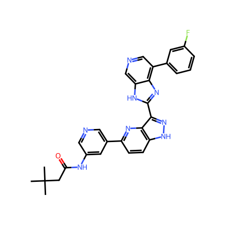 CC(C)(C)CC(=O)Nc1cncc(-c2ccc3[nH]nc(-c4nc5c(-c6cccc(F)c6)cncc5[nH]4)c3n2)c1